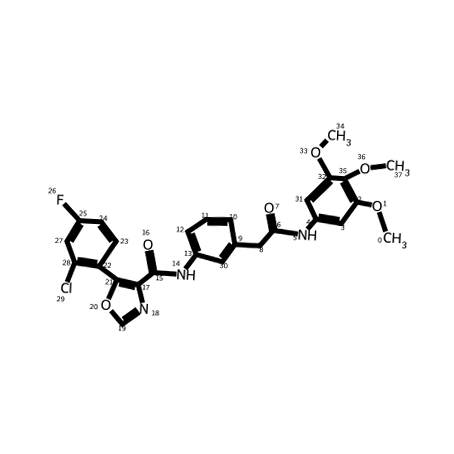 COc1cc(NC(=O)Cc2cccc(NC(=O)c3ncoc3-c3ccc(F)cc3Cl)c2)cc(OC)c1OC